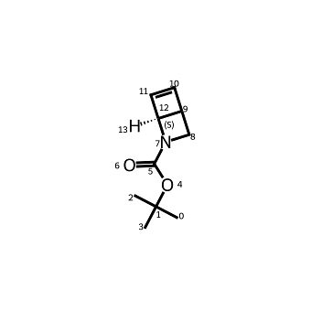 CC(C)(C)OC(=O)N1CC2C=C[C@@H]21